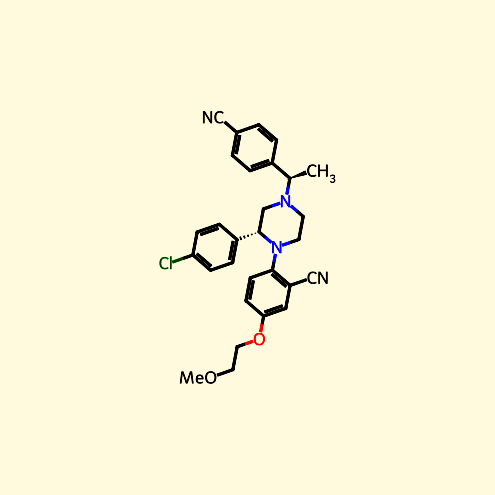 COCCOc1ccc(N2CCN([C@H](C)c3ccc(C#N)cc3)C[C@H]2c2ccc(Cl)cc2)c(C#N)c1